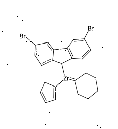 Brc1ccc2c(c1)-c1cc(Br)ccc1[CH]2[Zr]([C]1=CC=CC1)=[C]1CCCCC1